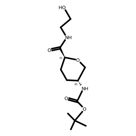 CC(C)(C)OC(=O)N[C@@H]1CC[C@@H](C(=O)NCCO)OC1